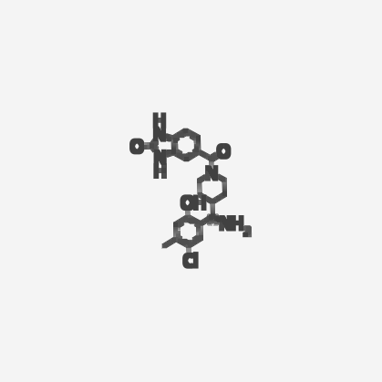 Cc1cc(O)c([C@H](N)C2CCN(C(=O)c3ccc4[nH]c(=O)[nH]c4c3)CC2)cc1Cl